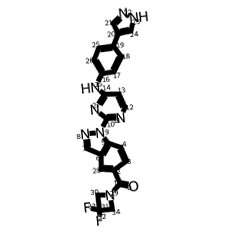 O=C(c1ccc2c(cnn2-c2nccc(Nc3ccc(-c4cn[nH]c4)cc3)n2)c1)N1CC(F)(F)C1